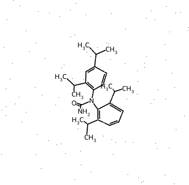 CC(C)c1ccc(N(C(N)=O)c2c(C(C)C)cccc2C(C)C)c(C(C)C)c1